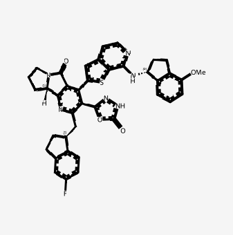 COc1cccc2c1CC[C@H]2Nc1nccc2cc(-c3c4c(nc(C[C@@H]5CCc6cc(F)ccc65)c3-c3n[nH]c(=O)o3)[C@@H]3CCCN3C4=O)sc12